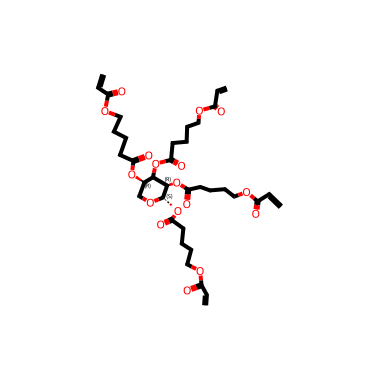 C=CC(=O)OCCCCC(=O)OC1[C@@H](OC(=O)CCCCOC(=O)C=C)[C@H](OC(=O)CCCCOC(=O)C=C)OC[C@H]1OC(=O)CCCCOC(=O)C=C